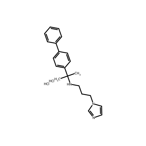 CC(C)(NCCCn1ccnc1)c1ccc(-c2ccccc2)cc1.Cl.Cl